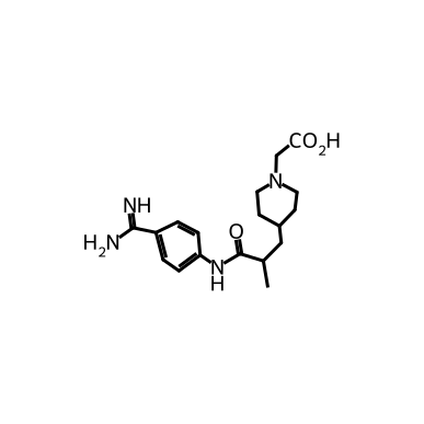 CC(CC1CCN(CC(=O)O)CC1)C(=O)Nc1ccc(C(=N)N)cc1